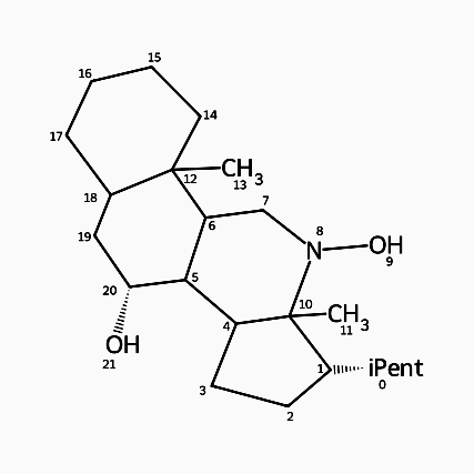 CCC[C@@H](C)C1CCC2C3C(CN(O)C21C)C1(C)CCCCC1C[C@H]3O